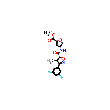 COC(=O)C1=C[C@@H](NC(=O)[C@@H]2ON=C(c3cc(F)cc(F)c3)C2C)CO1